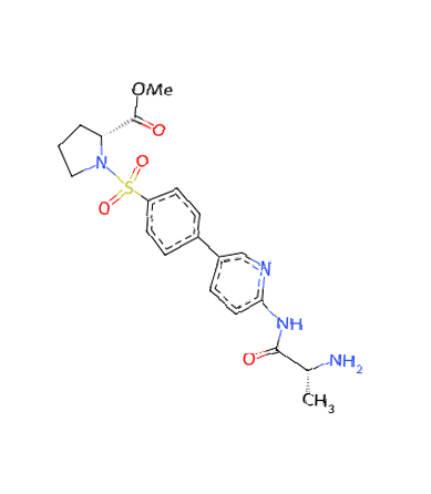 COC(=O)[C@H]1CCCN1S(=O)(=O)c1ccc(-c2ccc(NC(=O)[C@@H](C)N)nc2)cc1